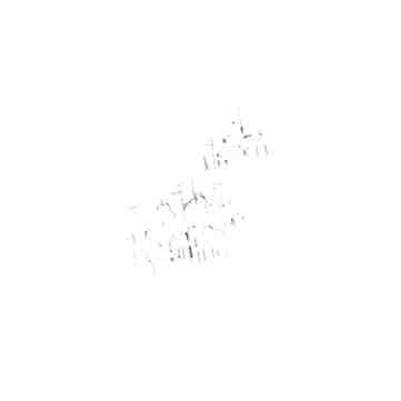 CN/C(=C(/Cc1ccc(OCCCNCC(C)(C)C(N)=O)cc1C)C(=N)OC1OC(CO)[C@@H](O)C(OC)[C@H]1O)C(C)C